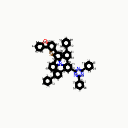 c1ccc(-c2ccc(-c3cc(-c4nc(-c5ccccc5)nc(-c5ccccc5)n4)cc(-c4ccc(-c5ccccc5)cc4)c3-n3c4ccccc4c4c5sc6c(ccc7oc8ccccc8c76)c5ccc43)cc2)cc1